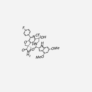 COc1cc(OC)c2cc(C(=O)NC[C@](O)(c3cc4c(c(-c5ccc(F)cc5)n3)OC[C@]4(CF)C(N)=O)C(F)(F)F)[nH]c2c1